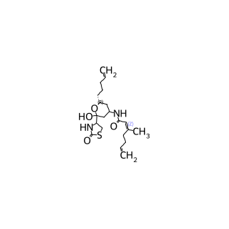 C=CCCC[C@@H]1CC(NC(=O)/C=C(/C)CCC=C)CC(O)(C2CSC(=O)N2)O1